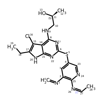 C=Nc1cc(Sc2nc(NC[C@H](C)O)c3c(Cl)c(CC)[nH]c3n2)cnc1/N=C\C